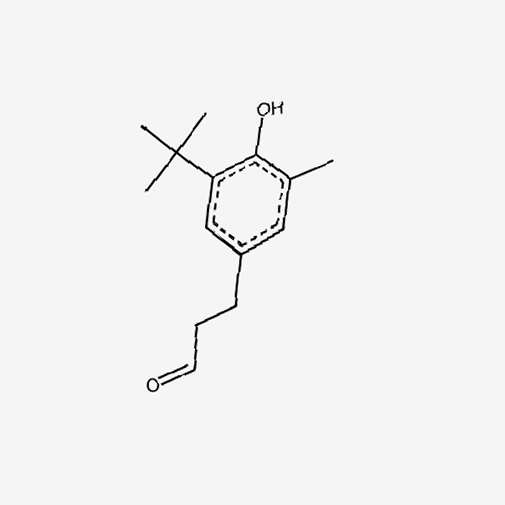 Cc1cc(CCC=O)cc(C(C)(C)C)c1O